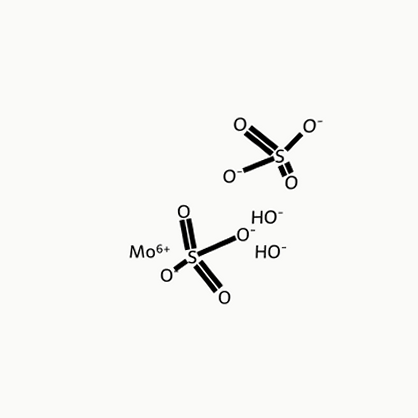 O=S(=O)([O-])[O-].O=S(=O)([O-])[O-].[Mo+6].[OH-].[OH-]